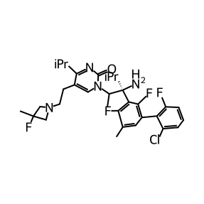 Cc1cc(-c2c(F)cccc2Cl)c(F)c([C@@](N)(C(C)C)C(C)n2cc(CCN3CC(C)(F)C3)c(C(C)C)nc2=O)c1F